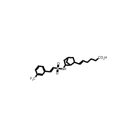 O=C(O)CCC/C=C/C1CC2CC(NS(=O)(=O)/C=C/c3cccc(C(F)(F)F)c3)C1C2